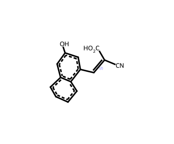 N#C/C(=C/c1cc(O)cc2ccccc12)C(=O)O